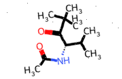 CC(=O)N[C@H](C(=O)C(C)(C)C)C(C)C